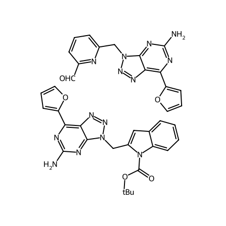 CC(C)(C)OC(=O)n1c(Cn2nnc3c(-c4ccco4)nc(N)nc32)cc2ccccc21.Nc1nc(-c2ccco2)c2nnn(Cc3cccc(C=O)n3)c2n1